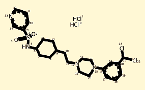 Cl.Cl.O=S(=O)(NC1CCC(CCN2CCN(c3cccc(C(Cl)Cl)c3)CC2)CC1)c1cccnc1